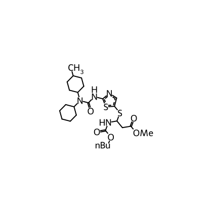 CCCCOC(=O)NC(CC(=O)OC)Sc1cnc(NC(=O)N(C2CCCCC2)C2CCC(C)CC2)s1